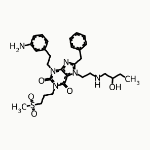 CCC(O)CNCCn1c(Cc2ccccc2)nc2c1c(=O)n(CCCS(C)(=O)=O)c(=O)n2CCc1cccc(N)c1